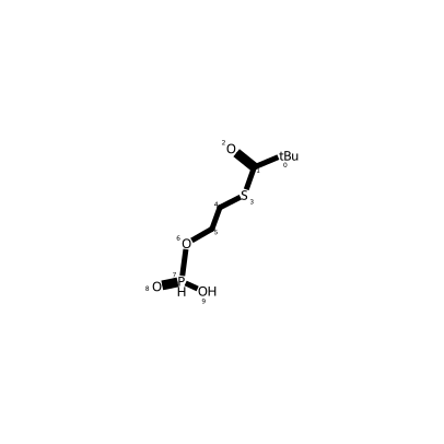 CC(C)(C)C(=O)SCCO[PH](=O)O